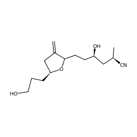 C=C1C[C@H](CCCO)OC1CC[C@@H](O)C[C@@H](C)C#N